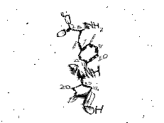 COC(=O)C(N)Cc1cccc(NC(=O)C2=CC(O)CC2)c1